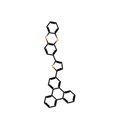 c1ccc2c(c1)Sc1ccc(-c3ccc(-c4ccc5c6ccccc6c6ccccc6c5c4)s3)cc1S2